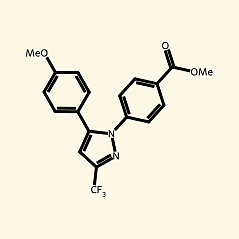 COC(=O)c1ccc(-n2nc(C(F)(F)F)cc2-c2ccc(OC)cc2)cc1